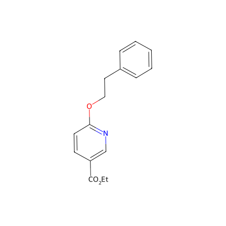 CCOC(=O)c1ccc(OCCc2ccccc2)nc1